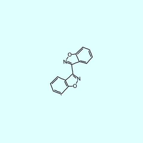 [c]1cccc2c(-c3noc4ccccc34)noc12